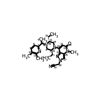 CC[C@H]1CN(C(C)c2ccc(C)c(C)n2)[C@H](CC)CN1c1cc(=O)n(C)c2cn(CC#N)nc12